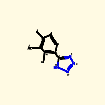 CC(=O)c1c(C)ccc(-c2nnn[nH]2)c1C